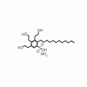 CCCCCCCCCCCCc1c(S(=O)(=O)O)cc(CCO)c(CCO)c1CCO.N